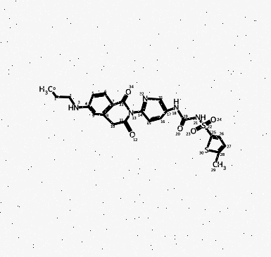 CCCNc1ccc2c(c1)CC(=O)N(c1ccc(NC(=O)NS(=O)(=O)c3ccc(C)s3)cn1)C2=O